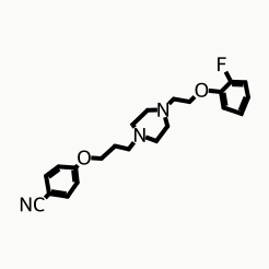 N#Cc1ccc(OCCCN2CCN(CCOc3ccccc3F)CC2)cc1